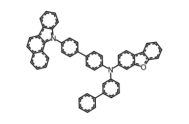 c1ccc(-c2cccc(N(c3ccc(-c4ccc(-n5c6ccccc6c6ccc7ccccc7c65)cc4)cc3)c3ccc4c(c3)oc3ccccc34)c2)cc1